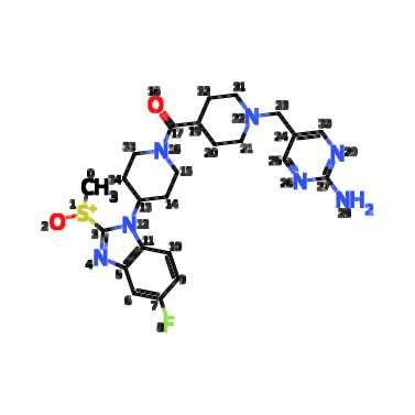 C[S+]([O-])c1nc2cc(F)ccc2n1C1CCN(C(=O)C2CCN(Cc3cnc(N)nc3)CC2)CC1